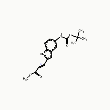 COC(=O)/C=C/c1cc2cc(NC(=O)OC(C)(C)C)ccc2[nH]1